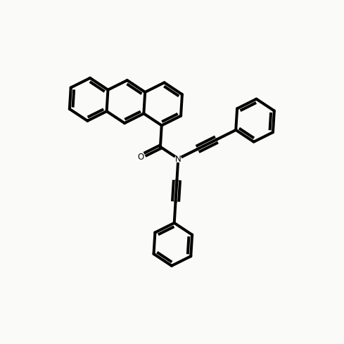 O=C(c1cccc2cc3ccccc3cc12)N(C#Cc1ccccc1)C#Cc1ccccc1